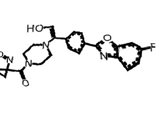 O=NC1(C(=O)N2CCN(C(=CO)c3ccc(-c4nc5ccc(F)cc5o4)cc3)CC2)CC1